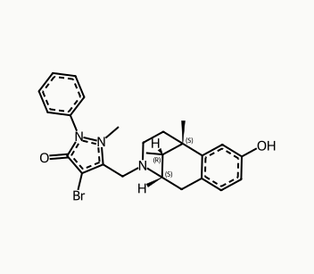 C[C@H]1[C@@H]2Cc3ccc(O)cc3[C@@]1(C)CCN2Cc1c(Br)c(=O)n(-c2ccccc2)n1C